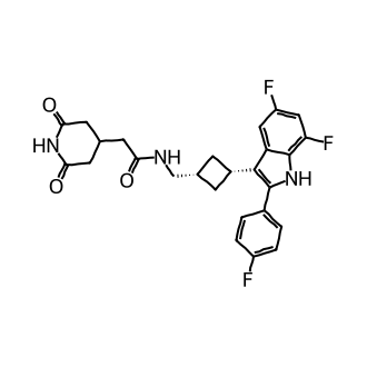 O=C(CC1CC(=O)NC(=O)C1)NC[C@H]1C[C@@H](c2c(-c3ccc(F)cc3)[nH]c3c(F)cc(F)cc32)C1